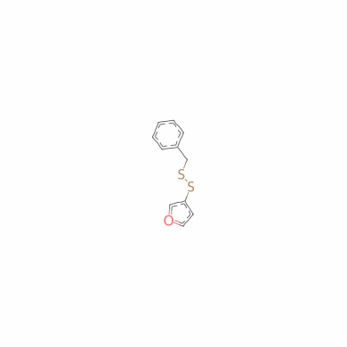 c1ccc(CSSc2ccoc2)cc1